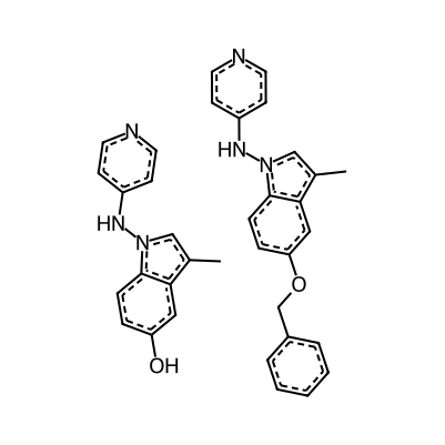 Cc1cn(Nc2ccncc2)c2ccc(O)cc12.Cc1cn(Nc2ccncc2)c2ccc(OCc3ccccc3)cc12